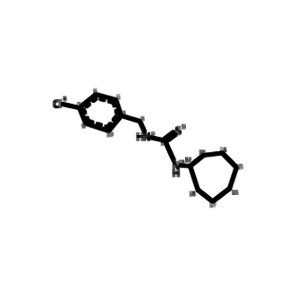 S=C(NCc1ccc(Cl)cc1)NC1CCCCCC1